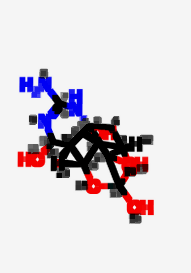 C[C@@]1(O)C2C[C@]34NC(N)=N[C@H](O)[C@H]3[C@H]1OC(O)(O2)[C@H]4O